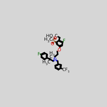 CC(C)(CN(CCCOc1cc(F)c(CC(=O)O)c(S(C)(=O)=O)c1)Cc1cccc(C(F)(F)F)c1)c1ccc(F)cc1